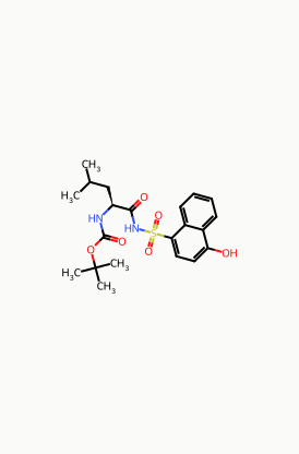 CC(C)C[C@H](NC(=O)OC(C)(C)C)C(=O)NS(=O)(=O)c1ccc(O)c2ccccc12